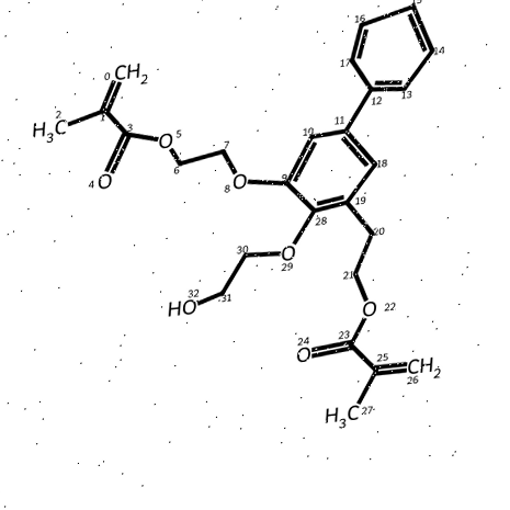 C=C(C)C(=O)OCCOc1cc(-c2ccccc2)cc(CCOC(=O)C(=C)C)c1OCCO